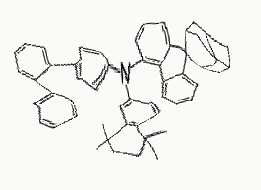 CC1(C)CCC(C)(C)c2cc(N(c3ccc(-c4ccccc4-c4ccccc4)cc3)c3cccc4c3-c3ccccc3C43C4CC5CC(C4)CC3C5)ccc21